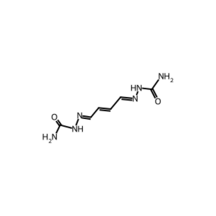 NC(=O)N/N=C/C=C/C=N/NC(N)=O